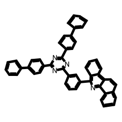 c1ccc(-c2ccc(-c3nc(-c4ccc(-c5ccccc5)cc4)nc(-c4cccc(-c5nc6c7ccccc7ccc6c6ccccc56)c4)n3)cc2)cc1